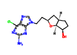 Nc1nc(Cl)c2ncn(CCC3C[C@H]4CC[C@@H](O)[C@H]4O3)c2n1